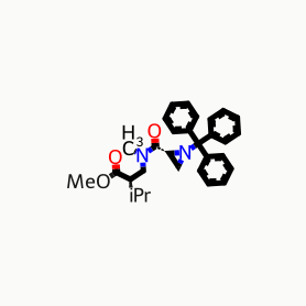 COC(=O)[C@@H](CN(C)C(=O)[C@H]1CN1C(c1ccccc1)(c1ccccc1)c1ccccc1)C(C)C